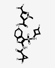 Cn1nc(C(F)F)cc1C(=S)N[C@H]1CCc2sc(NC(=O)C3CC3(F)F)c(S(=O)(=O)NC3CC(F)C3)c2C1